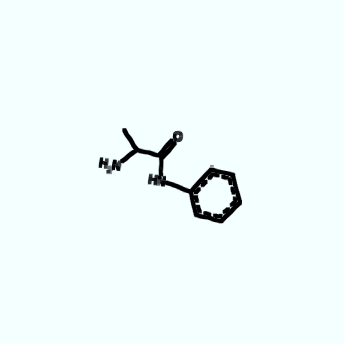 CC(N)C(=O)Nc1[c]cccc1